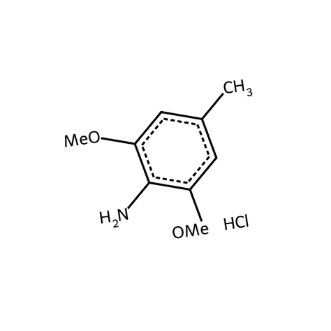 COc1cc(C)cc(OC)c1N.Cl